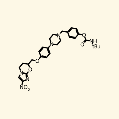 CC(C)(C)NC(=O)Oc1ccc(CN2CCN(c3ccc(OCC4CCn5cc([N+](=O)[O-])nc5O4)cc3)CC2)cc1